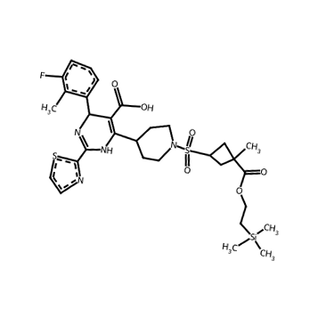 Cc1c(F)cccc1C1N=C(c2nccs2)NC(C2CCN(S(=O)(=O)C3CC(C)(C(=O)OCC[Si](C)(C)C)C3)CC2)=C1C(=O)O